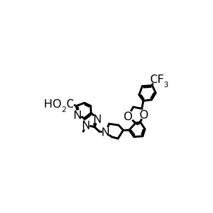 Cn1c(CN2CCC(c3cccc4c3OCC(c3ccc(C(F)(F)F)cc3)O4)CC2)nc2ccc(C(=O)O)nc21